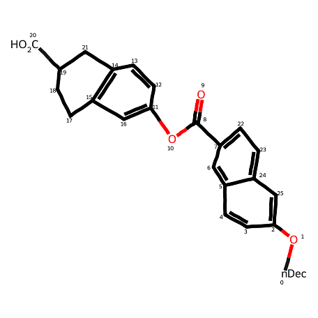 CCCCCCCCCCOc1ccc2cc(C(=O)Oc3ccc4c(c3)CCC(C(=O)O)C4)ccc2c1